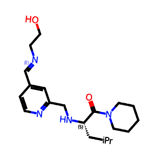 CC(C)C[C@H](NCc1cc(/C=N/CCO)ccn1)C(=O)N1CCCCC1